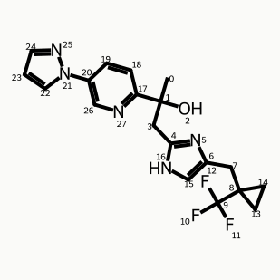 CC(O)(Cc1nc(CC2(C(F)(F)F)CC2)c[nH]1)c1ccc(-n2cccn2)cn1